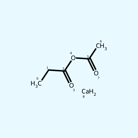 CCC(=O)OC(C)=O.[CaH2]